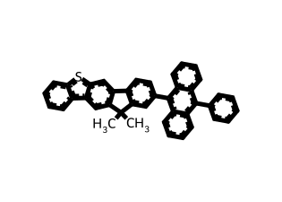 CC1(C)c2cc(-c3c4ccccc4c(-c4ccccc4)c4ccccc34)ccc2-c2cc3sc4ccccc4c3cc21